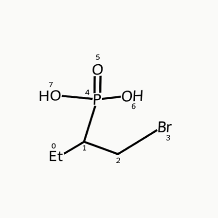 CCC(CBr)P(=O)(O)O